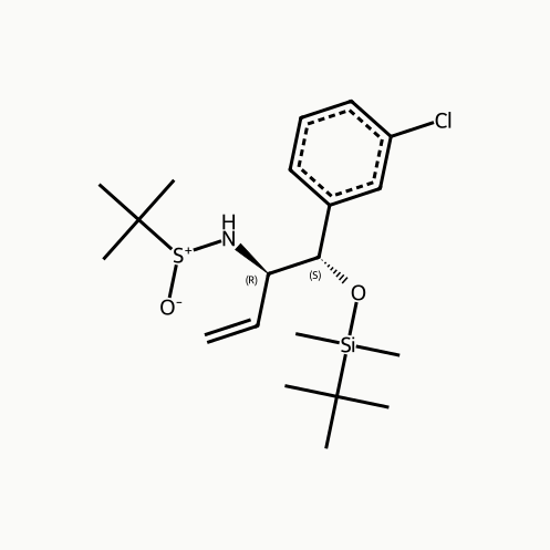 C=C[C@@H](N[S+]([O-])C(C)(C)C)[C@@H](O[Si](C)(C)C(C)(C)C)c1cccc(Cl)c1